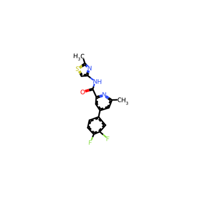 Cc1cc(-c2ccc(F)c(F)c2)cc(C(=O)Nc2csc(C)n2)n1